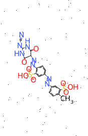 Cc1ccc(N=Nc2ccc(N=NC3C(=O)NC(=NC#N)NC3=O)c(S(=O)(=O)O)c2)cc1S(=O)(=O)O